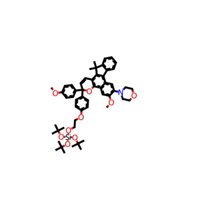 COc1ccc(C2(c3ccc(OCCO[Si](OC(C)(C)C)(OC(C)(C)C)OC(C)(C)C)cc3)C=Cc3c4c(c5cc(N6CCOCC6)c(OC)cc5c3O2)-c2ccccc2C4(C)C)cc1